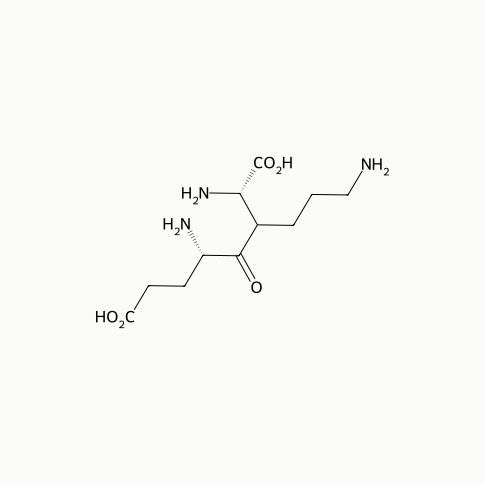 NCCCC(C(=O)[C@@H](N)CCC(=O)O)[C@H](N)C(=O)O